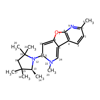 Cc1ccc2c3c(oc2n1)=CB(N1[C@@H](C)C(C)(C)CC1(C)C)N(C)C=3